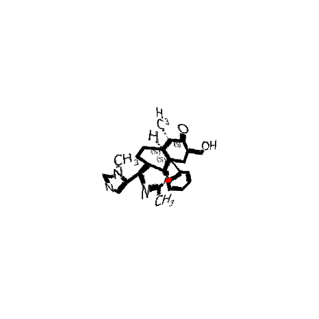 Cc1nc(-c2cncn2C)c2c(n1)[C@@]1(c3ccccc3)CC(=CO)C(=O)[C@@H](C)[C@@H]1CC2